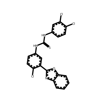 S=C(Nc1ccc(Cl)c(Cl)c1)Nc1ccc(Cl)c(-c2nc3ccccc3o2)c1